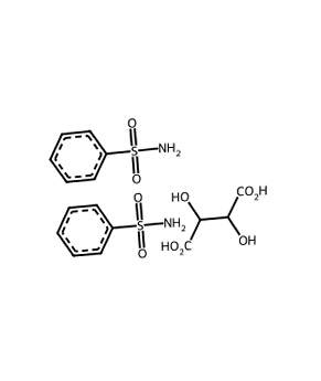 NS(=O)(=O)c1ccccc1.NS(=O)(=O)c1ccccc1.O=C(O)C(O)C(O)C(=O)O